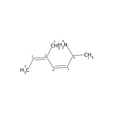 C/C=C(C)\C=C/C(C)N